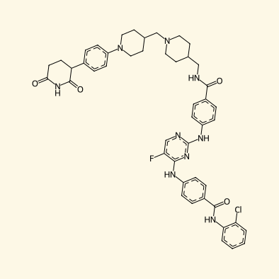 O=C1CCC(c2ccc(N3CCC(CN4CCC(CNC(=O)c5ccc(Nc6ncc(F)c(Nc7ccc(C(=O)Nc8ccccc8Cl)cc7)n6)cc5)CC4)CC3)cc2)C(=O)N1